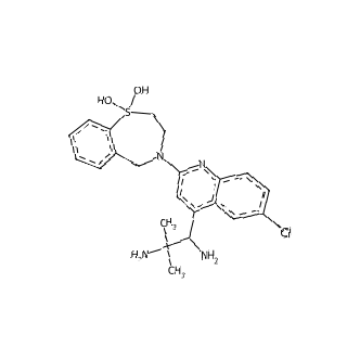 CC(C)(N)C(N)c1cc(N2CCS(O)(O)c3ccccc3C2)nc2ccc(Cl)cc12